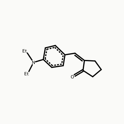 CCN(CC)c1ccc(/C=C2/CCCC2=O)cc1